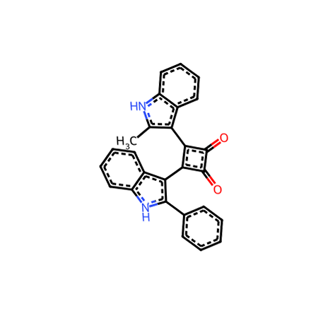 Cc1[nH]c2ccccc2c1-c1c(-c2c(-c3ccccc3)[nH]c3ccccc23)c(=O)c1=O